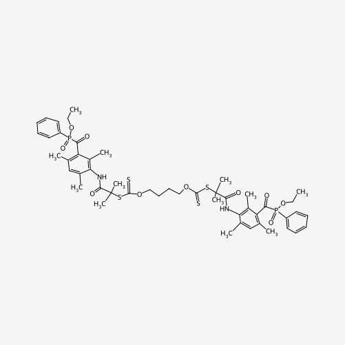 CCOP(=O)(C(=O)c1c(C)cc(C)c(NC(=O)C(C)(C)SC(=S)OCCCCOC(=S)SC(C)(C)C(=O)Nc2c(C)cc(C)c(C(=O)P(=O)(OCC)c3ccccc3)c2C)c1C)c1ccccc1